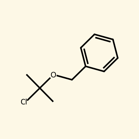 CC(C)(Cl)OCc1ccccc1